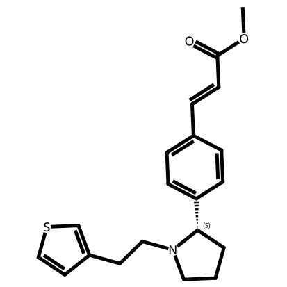 COC(=O)C=Cc1ccc([C@@H]2CCCN2CCc2ccsc2)cc1